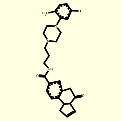 Cc1ccc(Cl)cc1N1CCN(CCCNC(=O)c2ccc3c(c2)CC(=O)C2C=CCC32)CC1